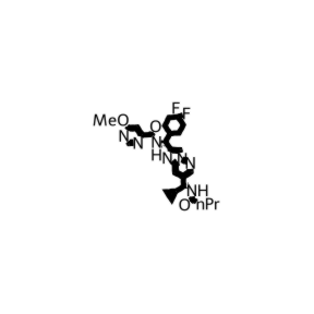 CCCC(=O)N[C@@H](c1cnn2cc([C@@H](NC(=O)c3cc(OC)ncn3)C3CCC(F)(F)CC3)nc2c1)C1CC1